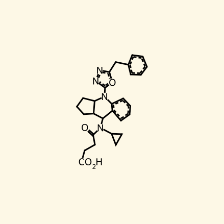 O=C(O)CCC(=O)N(C1CC1)C1c2ccccc2N(c2nnc(Cc3ccccc3)o2)C2CCCC21